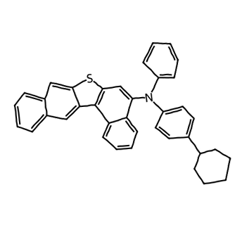 c1ccc(N(c2ccc(C3CCCCC3)cc2)c2cc3sc4cc5ccccc5cc4c3c3ccccc23)cc1